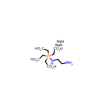 NCCNP(CC(=O)O)(CC(=O)O)(CC(=O)O)CC(=O)O.[NaH].[NaH]